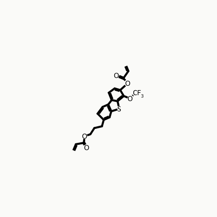 C=CC(=O)OCCCc1ccc2c(c1)sc1c(OC(F)(F)F)c(OC(=O)C=C)ccc12